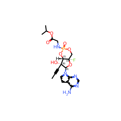 CC#C[C@]1(O)[C@H](n2ccc3c(N)ncnc32)O[C@]2(F)COP(=O)(NCC(=O)OC(C)C)O[C@@H]12